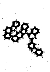 c1ccc2c(-n3c4ccccc4c4ccc5ccccc5c43)c3c4ccccc4n(-c4nc(-c5ccc6oc7ccccc7c6c5)nc5ccccc45)c3cc2c1